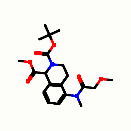 COCC(=O)N(C)c1cccc2c1CCN(C(=O)OC(C)(C)C)C2C(=O)OC